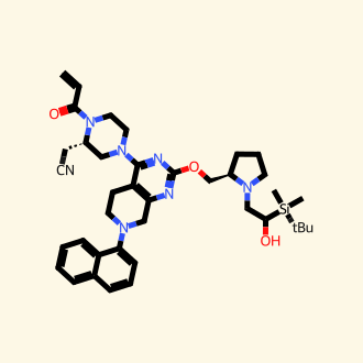 C=CC(=O)N1CCN(c2nc(OC[C@H]3CCCN3CC(O)[Si](C)(C)C(C)(C)C)nc3c2CCN(c2cccc4ccccc24)C3)C[C@@H]1CC#N